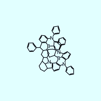 c1ccc(C2c3cccc4c3B(c3ccccc3N4c3ccccc3)C3CC4C(CC32)C2CCCC3c5ccc6c(c5N4C32)B2c3c(cccc3N(c3ccccc3)C3CCCCC23)N6c2ccccc2)cc1